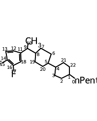 CCCCCC1CCC(C2CCC(C(C)c3ccc(F)c(F)c3)CC2)CC1